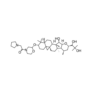 C[C@@H]1C[C@H](C(O)C(C)(C)O)O[C@H]2C1[C@@]1(C)CC[C@@]34CC35CCC(OC3CN(C(=O)CN6CCCC6)CCO3)C(C)(C)[C@@H]5CC[C@H]4[C@]1(C)[C@H]2O